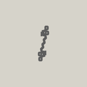 O=C1CN=C(CCCCCCC2=NCC(=O)O2)O1